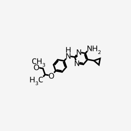 COCC(C)Oc1ccc(Nc2ncc(C3CC3)c(N)n2)cc1